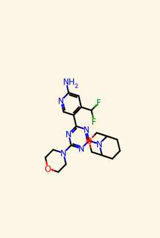 Nc1cc(C(F)F)c(-c2nc(N3CCOCC3)nc(N3C4CCCC3COC4)n2)cn1